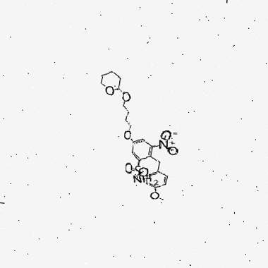 COc1ccc(Cc2c([N+](=O)[O-])cc(OCCCCOC3CCCCO3)cc2S(N)(=O)=O)cc1